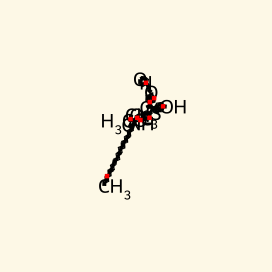 CCC=CCC=CCC=CCC=CCC=CCC=CCCC(=O)NC(C(=O)Oc1ccc(-c2sc3cc(O)ccc3c2C(=O)c2ccc(OCCN3CCOCC3)cc2)cc1)C(C)C